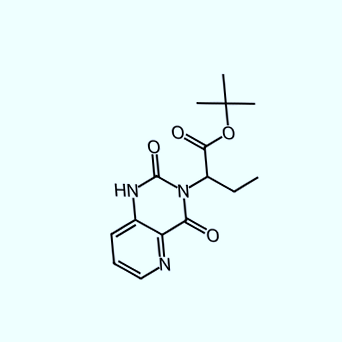 CCC(C(=O)OC(C)(C)C)n1c(=O)[nH]c2cccnc2c1=O